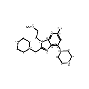 COCCn1c(CN2CCOCC2)nc2c(N3CCOCC3)cc(Cl)nc21